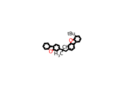 CC(C)(C)c1cccc2c1oc1cc(CC(C)(C)c3ccc4c(c3)oc3ccccc34)ccc12